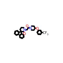 O=C(CN1CCCC(c2ccccc2)(c2ccccc2)C1=O)N1CCC(Oc2cccc(C(F)(F)F)c2)CC1